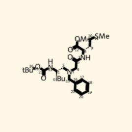 CC[C@H](C)[C@@H](CN(CC(=O)N[C@@H](CCSC)C(=O)OC)Cc1ccccc1)NC(=O)OC(C)(C)C